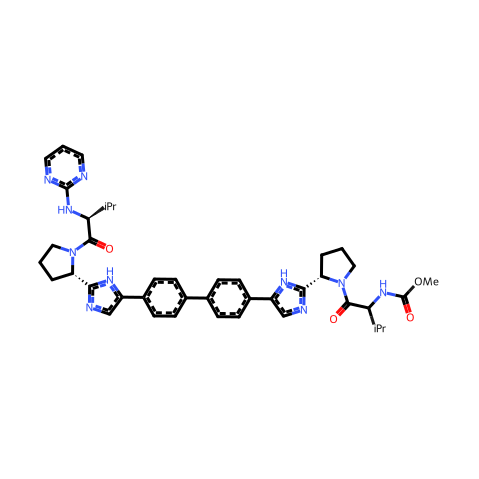 COC(=O)NC(C(=O)N1CCC[C@H]1c1ncc(-c2ccc(-c3ccc(-c4cnc([C@@H]5CCCN5C(=O)[C@@H](Nc5ncccn5)C(C)C)[nH]4)cc3)cc2)[nH]1)C(C)C